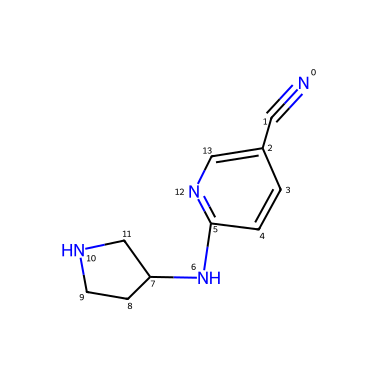 N#Cc1ccc(NC2CCNC2)nc1